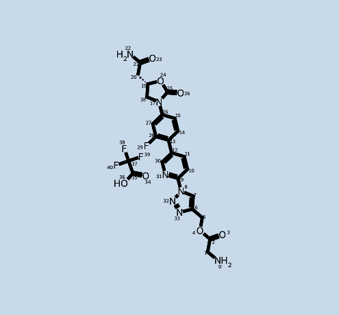 NCC(=O)OCc1cn(-c2ccc(-c3ccc(N4C[C@H](CC(N)=O)OC4=O)cc3F)cn2)nn1.O=C(O)C(F)(F)F